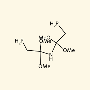 COC(CP)(NC(CP)(OC)OC)OC